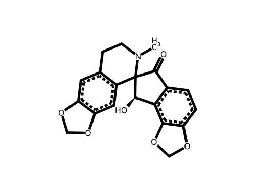 CN1CCc2cc3c(cc2C12C(=O)c1ccc4c(c1[C@H]2O)OCO4)OCO3